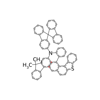 CC1(C)c2ccccc2-c2ccc(N(c3ccc4c(c3)C3(c5ccccc5-c5ccccc53)c3ccccc3-4)c3ccccc3-c3cccc4ccc5sc6ccccc6c5c34)cc21